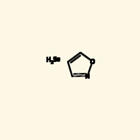 [SeH2].c1cnoc1